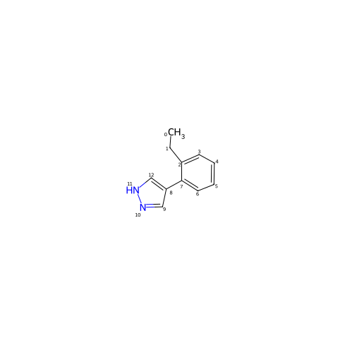 CCc1ccccc1-c1cn[nH]c1